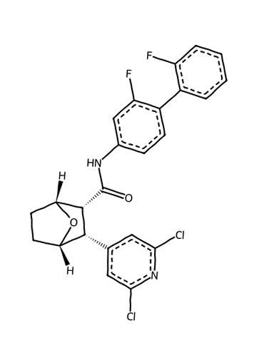 O=C(Nc1ccc(-c2ccccc2F)c(F)c1)[C@@H]1[C@H](c2cc(Cl)nc(Cl)c2)[C@@H]2CC[C@H]1O2